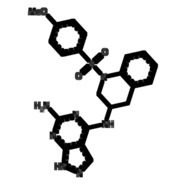 COc1ccc(S(=O)(=O)N2CC(Nc3nc(N)nc4[nH]ncc34)Cc3ccccc32)cc1